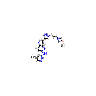 CCOC1CN(CCCn2cc(-c3cnc4ccc(Nc5cc(C(C)C)cnn5)nc4c3)cn2)C1